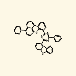 c1ccc(-c2nc(-c3cccc4c3Sc3ccc(-c5ccccc5)c5cccc-4c35)nc(-c3cccc4sc5ccccc5c34)n2)cc1